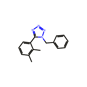 Cc1cccc(-c2nnnn2Cc2ccccc2)c1C